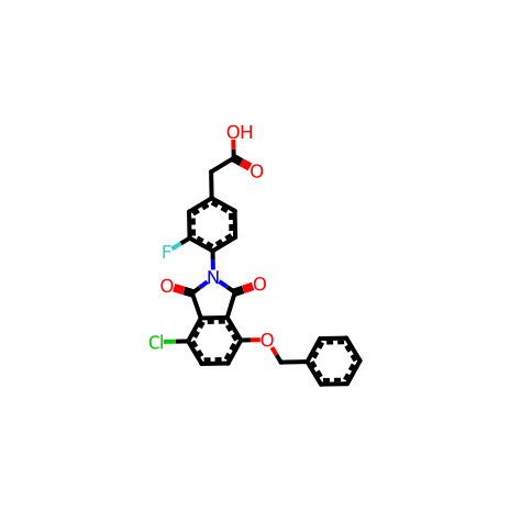 O=C(O)Cc1ccc(N2C(=O)c3c(Cl)ccc(OCc4ccccc4)c3C2=O)c(F)c1